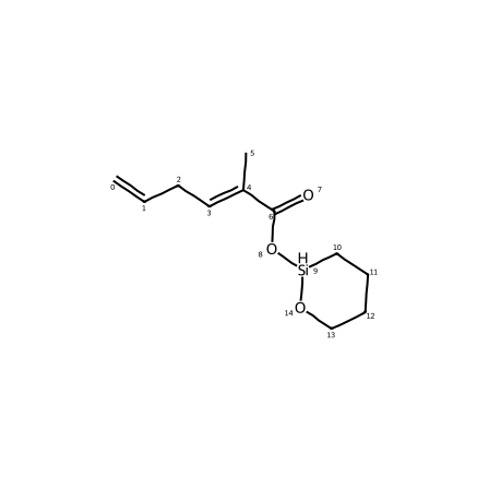 C=CCC=C(C)C(=O)O[SiH]1CCCCO1